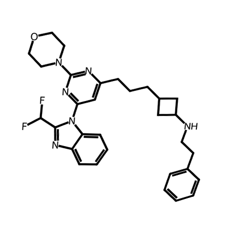 FC(F)c1nc2ccccc2n1-c1cc(CCCC2CC(NCCc3ccccc3)C2)nc(N2CCOCC2)n1